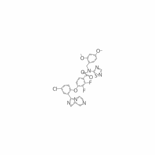 COc1ccc(CN(c2ncns2)S(=O)(=O)c2ccc(Oc3ccc(Cl)cc3-c3ncc4cnccn34)c(F)c2F)c(OC)c1